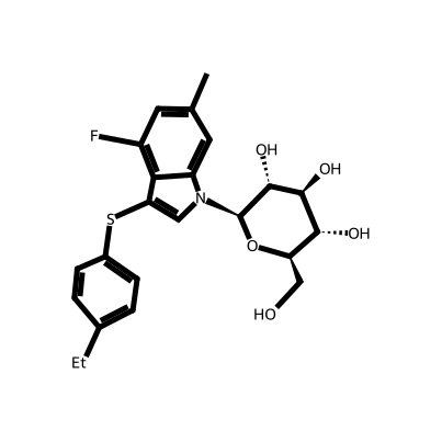 CCc1ccc(Sc2cn([C@@H]3O[C@H](CO)[C@@H](O)[C@H](O)[C@H]3O)c3cc(C)cc(F)c23)cc1